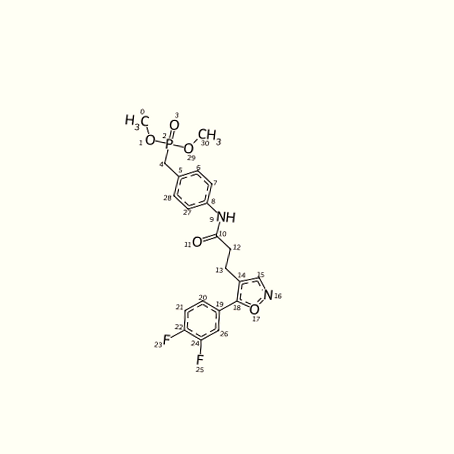 COP(=O)(Cc1ccc(NC(=O)CCc2cnoc2-c2ccc(F)c(F)c2)cc1)OC